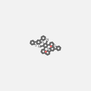 N#Cc1c(-c2ccccc2)c(-n2c3ccccc3c3cc4c(cc32)sc2ccccc24)c(-c2ccccc2)c(C#N)c1-n1c2ccccc2c2cc3c(cc21)sc1ccccc13